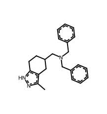 Cc1n[nH]c2c1CC(CN(Cc1ccccc1)Cc1ccccc1)CC2